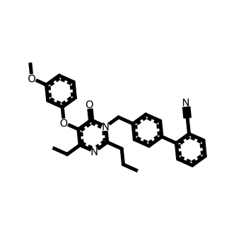 CCCc1nc(CC)c(Oc2cccc(OC)c2)c(=O)n1Cc1ccc(-c2ccccc2C#N)cc1